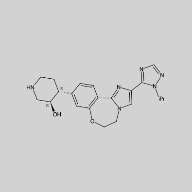 CC(C)n1ncnc1-c1cn2c(n1)-c1ccc([C@H]3CCNC[C@@H]3O)cc1OCC2